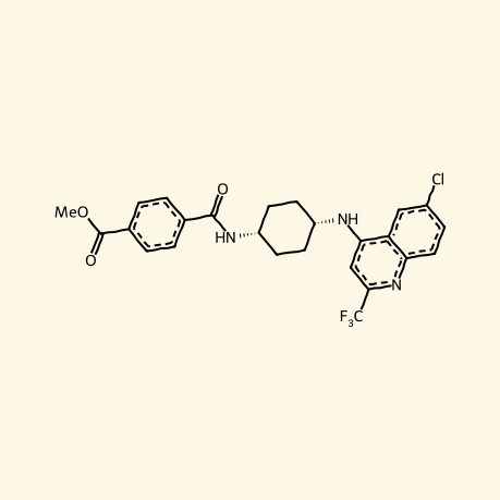 COC(=O)c1ccc(C(=O)N[C@H]2CC[C@@H](Nc3cc(C(F)(F)F)nc4ccc(Cl)cc34)CC2)cc1